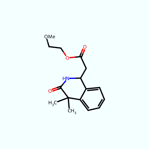 COCCOC(=O)CC1NC(=O)C(C)(C)c2ccccc21